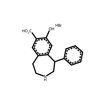 Br.O=C(O)c1cc2c(cc1O)C(c1ccccc1)CNCC2